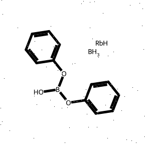 B.OB(Oc1ccccc1)Oc1ccccc1.[RbH]